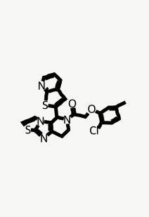 Cc1ccc(Cl)c(OCC(=O)N2CCc3nc4sccn4c3C2c2cc3cccnc3s2)c1